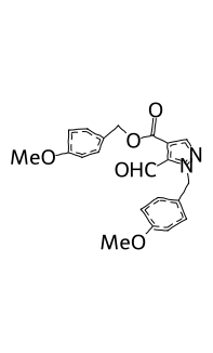 COc1ccc(COC(=O)c2cnn(Cc3ccc(OC)cc3)c2C=O)cc1